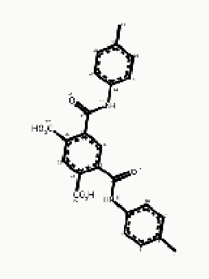 Cc1ccc(NC(=O)c2cc(C(=O)Nc3ccc(C)cc3)c(C(=O)O)cc2C(=O)O)cc1